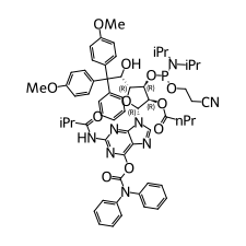 CCCC(=O)O[C@@H]1[C@H](OP(OCCC#N)N(C(C)C)C(C)C)[C@@H](C(O)C(c2ccccc2)(c2ccc(OC)cc2)c2ccc(OC)cc2)O[C@H]1n1cnc2c(OC(=O)N(c3ccccc3)c3ccccc3)nc(NC(=O)C(C)C)nc21